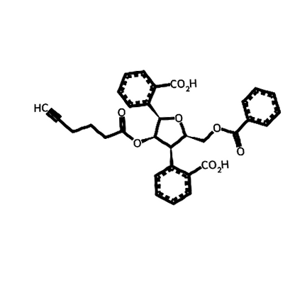 C#CCCCC(=O)O[C@@H]1[C@H](c2ccccc2C(=O)O)[C@H](COC(=O)c2ccccc2)O[C@@H]1c1ccccc1C(=O)O